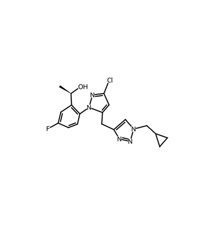 C[C@@H](O)c1cc(F)ccc1-n1nc(Cl)cc1Cc1cn(CC2CC2)nn1